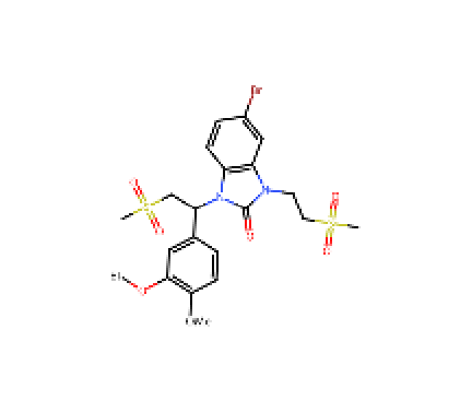 CCOc1cc(C(CS(C)(=O)=O)n2c(=O)n(CCS(C)(=O)=O)c3cc(Br)ccc32)ccc1OC